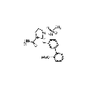 CCNC(=O)N1CCC[C@H](NS(C)(=O)=O)[C@@H]1Cc1cccc(-c2ccccc2OC)c1